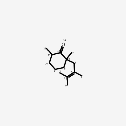 CC(C)=C(C)CC1(C)CCCC(C)C1=O